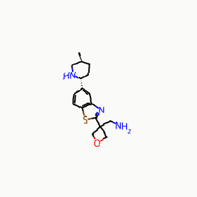 C[C@H]1CC[C@H](c2ccc3sc(C4(CN)COC4)nc3c2)NC1